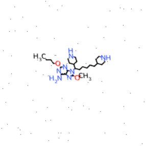 CCCCOc1nc(N)c2nc(OC)n(C(CCCCCC3CCNCC3)C3CCNCC3)c2n1